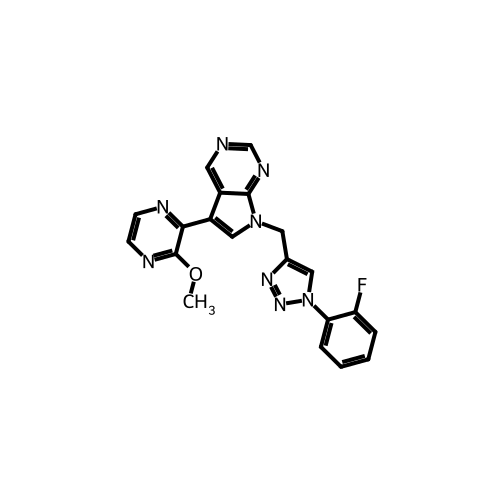 COc1nccnc1-c1cn(Cc2cn(-c3ccccc3F)nn2)c2ncncc12